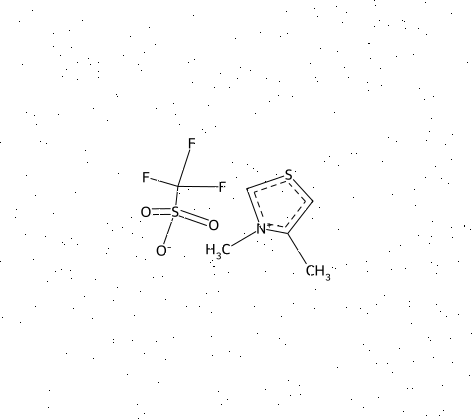 Cc1csc[n+]1C.O=S(=O)([O-])C(F)(F)F